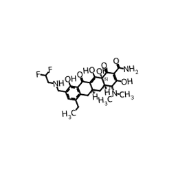 CCc1cc(CNCC(F)F)c(O)c2c1C[C@H]1C[C@H]3[C@H](N(C)C)C(O)=C(C(N)=O)C(=O)[C@@]3(O)C(O)=C1C2=O